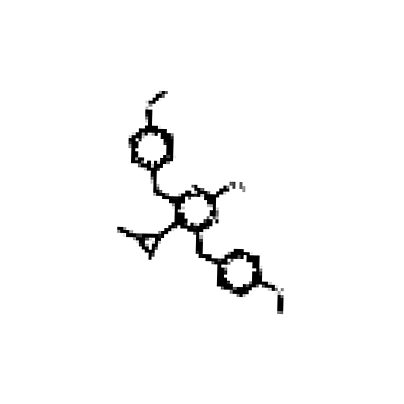 COc1ccc(Cc2nc(N)nc(Cc3ccc(OC)cc3)c2C2CC2C)cc1